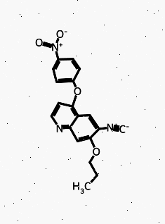 [C-]#[N+]c1cc2c(Oc3ccc([N+](=O)[O-])cc3)ccnc2cc1OCCC